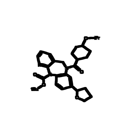 CC(C)OC1CCC(C(=O)N2Cc3cccnc3N(C(=O)OC(C)(C)C)c3ccc(C4CCCO4)cc32)CC1